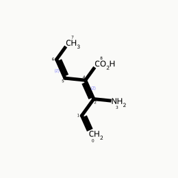 C=C/C(N)=C(\C=C/C)C(=O)O